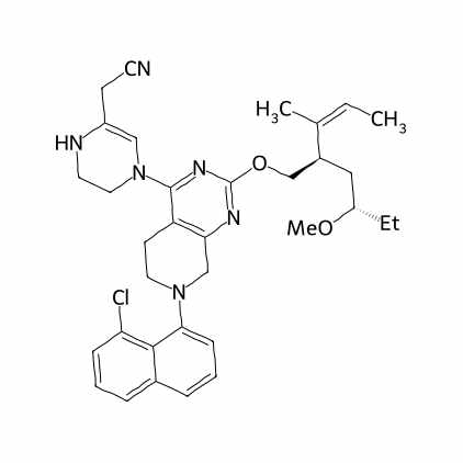 C/C=C(/C)[C@H](COc1nc2c(c(N3C=C(CC#N)NCC3)n1)CCN(c1cccc3cccc(Cl)c13)C2)C[C@H](CC)OC